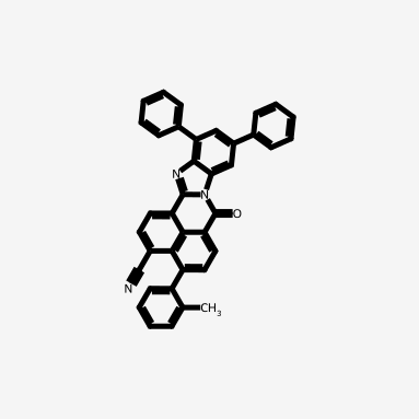 Cc1ccccc1-c1ccc2c(=O)n3c4cc(-c5ccccc5)cc(-c5ccccc5)c4nc3c3ccc(C#N)c1c23